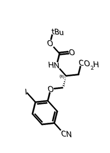 CC(C)(C)OC(=O)N[C@@H](COc1cc(C#N)ccc1I)CC(=O)O